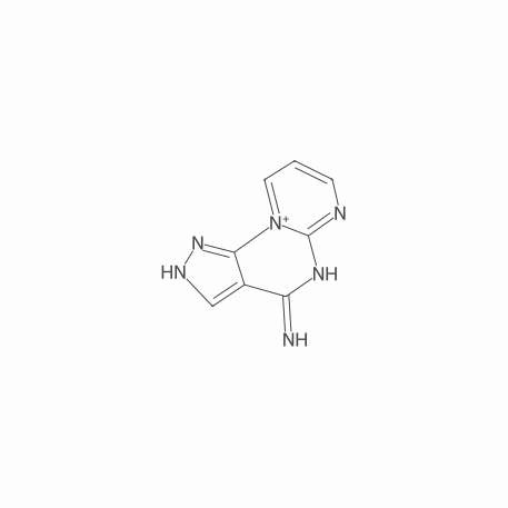 N=c1[nH]c2nccc[n+]2c2n[nH]cc12